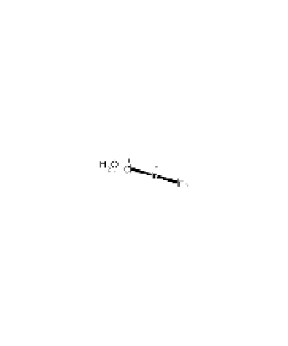 O.[Cl][Ir][Ir]